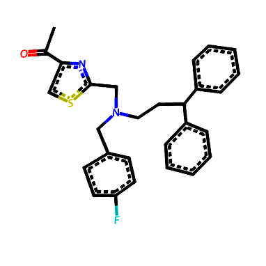 CC(=O)c1csc(CN(CCC(c2ccccc2)c2ccccc2)Cc2ccc(F)cc2)n1